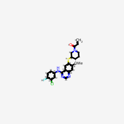 C=CC(=O)N1CCCC(Sc2cc3c(Nc4ccc(F)c(Cl)c4)ncnc3cc2OC)C1